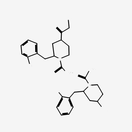 CCOC(=O)CC(=O)C1CCN(C(=O)OC)C(Cc2ccccc2C(F)(F)F)C1.COC(=O)N1CCC(C(=O)O)CC1Cc1ccccc1C(F)(F)F